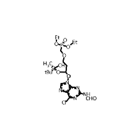 CCOP(=O)(COCCC(On1cnc2c(Cl)nc(NC=O)nc21)O[Si](C)(C)C(C)(C)C)OCC